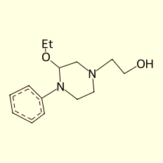 CCOC1CN(CCO)CCN1c1ccccc1